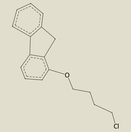 ClCCCCOc1cccc2c1Cc1ccccc1-2